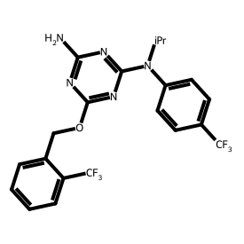 CC(C)N(c1ccc(C(F)(F)F)cc1)c1nc(N)nc(OCc2ccccc2C(F)(F)F)n1